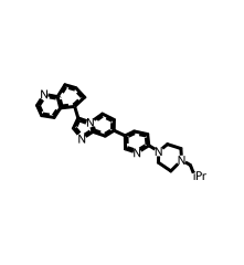 CC(C)CN1CCN(c2ccc(-c3ccn4c(-c5cccc6ncccc56)cnc4c3)cn2)CC1